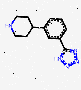 c1cc(-c2nnn[nH]2)cc(C2CCNCC2)c1